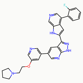 Fc1ccccc1-c1cncc2[nH]c(-c3n[nH]c4ncc(-c5cncc(OCCN6CCCC6)c5)cc34)cc12